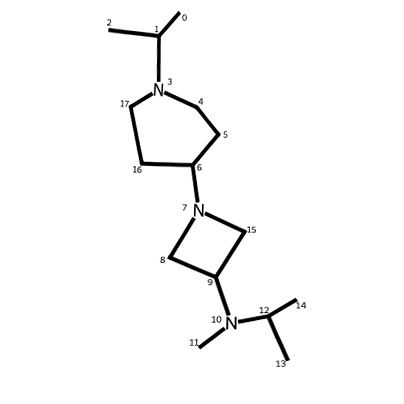 CC(C)N1CCC(N2CC(N(C)C(C)C)C2)CC1